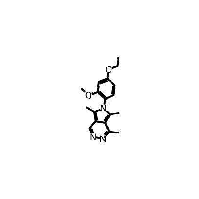 CCOc1ccc(-n2c(C)c3cnnc(C)c3c2C)c(OC)c1